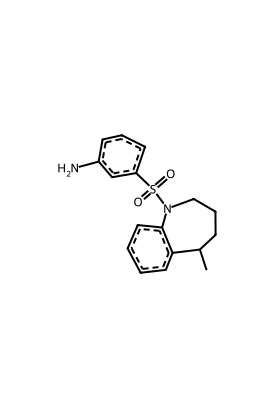 CC1CCCN(S(=O)(=O)c2cccc(N)c2)c2ccccc21